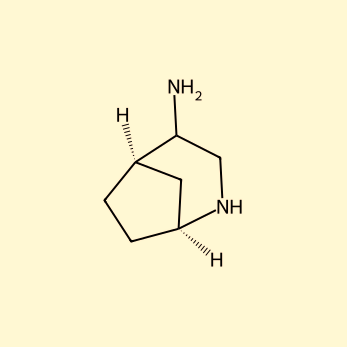 NC1CN[C@H]2CC[C@@H]1C2